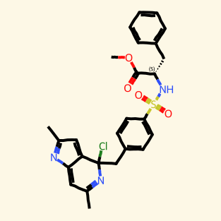 COC(=O)[C@H](Cc1ccccc1)NS(=O)(=O)c1ccc(CC2(Cl)N=C(C)C=C3N=C(C)C=C32)cc1